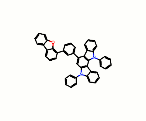 c1ccc(-n2c3ccccc3c3c2cc(-c2cccc(-c4cccc5c4oc4ccccc45)c2)c2c4ccccc4n(-c4ccccc4)c23)cc1